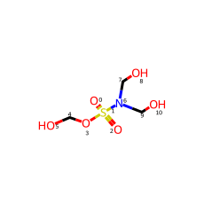 O=S(=O)(OCO)N(CO)CO